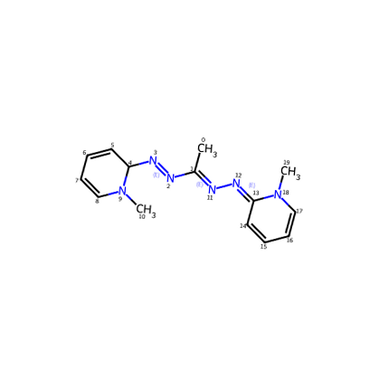 CC(/N=N/C1C=CC=CN1C)=N\N=c1/ccccn1C